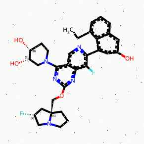 CCc1cccc2cc(O)cc(-c3ncc4c(N5CC[C@@H](O)[C@@H](O)C5)nc(OC[C@@]56CCCN5C[C@H](F)C6)nc4c3F)c12